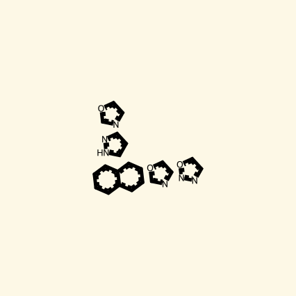 c1ccc2ccccc2c1.c1cn[nH]c1.c1cocn1.c1cocn1.c1conn1